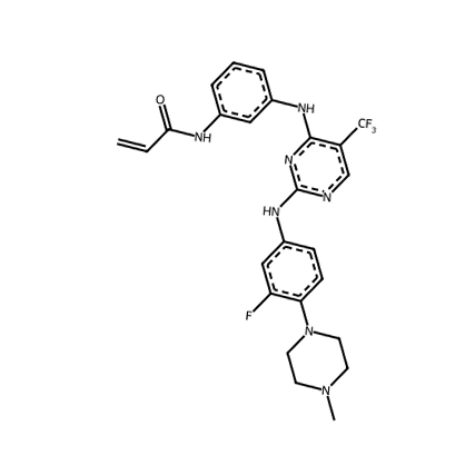 C=CC(=O)Nc1cccc(Nc2nc(Nc3ccc(N4CCN(C)CC4)c(F)c3)ncc2C(F)(F)F)c1